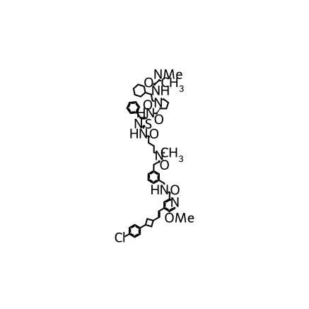 CN[C@@H](C)C(=O)N[C@H](C(=O)N1CCC[C@H]1C(=O)Nc1sc(NC(=O)CCCN(C)C(=O)Cc2cccc(CNC(=O)c3cc(/C=C/C4CC(c5ccc(Cl)cc5)C4)c(OC)cn3)c2)nc1-c1ccccc1)C1CCCCC1